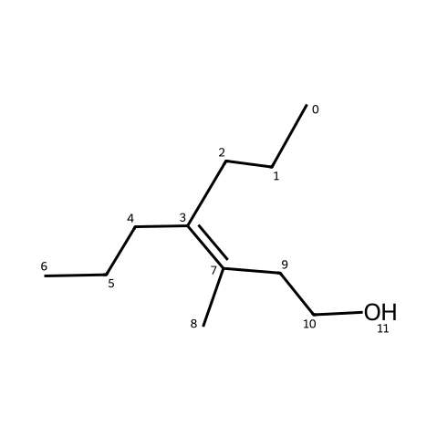 CCCC(CCC)=C(C)CCO